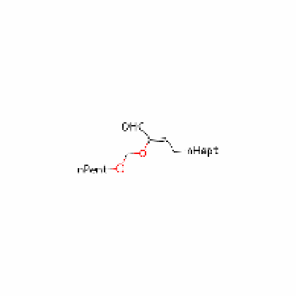 CCCCCCCCC=C(C=O)OCOCCCCC